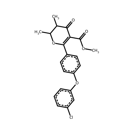 COC(=O)C1=C(c2ccc(Oc3cccc(Cl)c3)cc2)OC(C)C(C)C1=O